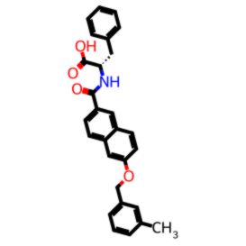 Cc1cccc(COc2ccc3cc(C(=O)N[C@@H](Cc4ccccc4)C(=O)O)ccc3c2)c1